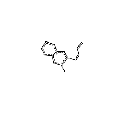 C=C/C=C\c1cc2ccccc2cc1C